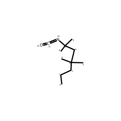 CCCC(C)(C)CC(C)(C)N=C=O